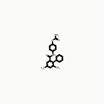 Cc1cc(C(F)(F)F)cc(C(=O)Nc2ccc(OC(N)=O)cc2)c1-c1ccccc1